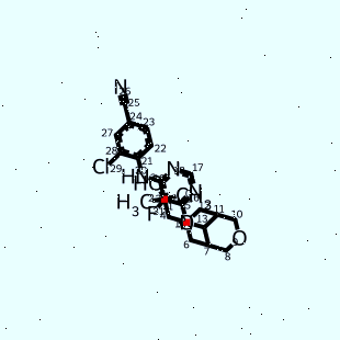 CC(C)(O)CN1CC2COCC(C1)C2Oc1ncnc(Nc2ccc(C#N)cc2Cl)c1F